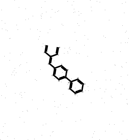 C=CC(C=C)=Cc1ccc(-c2ccccc2)cc1